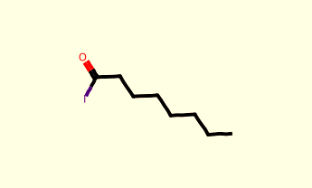 CCCCCCCC(=O)I